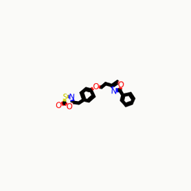 O=c1oc(Cc2ccc(OCCc3coc(-c4ccccc4)n3)cc2)ns1